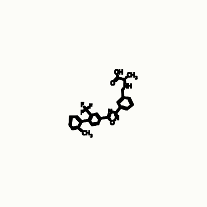 Cc1ccccc1-c1ccc(-c2nc(-c3cccc(CN[C@H](C)C(=O)O)c3)no2)cc1C(F)(F)F